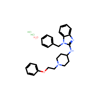 Cl.Cl.O.c1ccc(Cn2c(NC3CCN(CCOc4ccccc4)CC3)nc3ccccc32)cc1